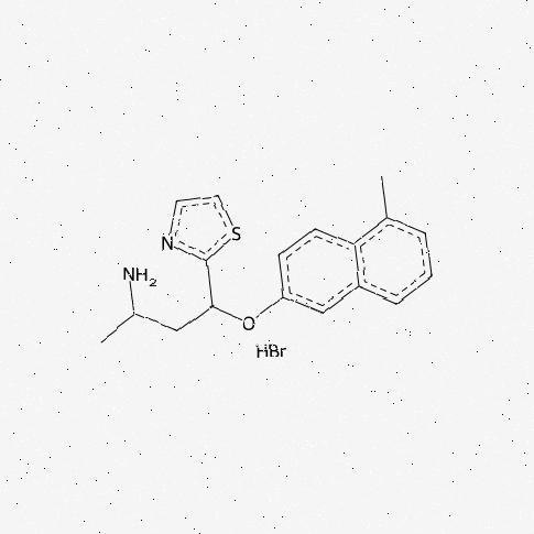 Br.Cc1cccc2cc(OC(CC(C)N)c3nccs3)ccc12